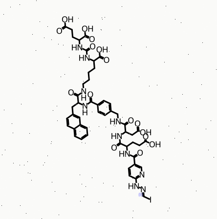 O=C(O)CCC(NC(=O)NC(CCCCNC(=O)C(Cc1ccc2ccccc2c1)NC(=O)c1ccc(CNC(=O)C(CC(=O)O)NC(=O)C(CCC(=O)O)NC(=O)c2ccc(N/N=C/I)nc2)cc1)C(=O)O)C(=O)O